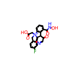 O=C(O)C[N+]1(Cc2ccc(F)cc2)C2=CN=CC(=O)C2c2c(C(=O)NO)cccc21